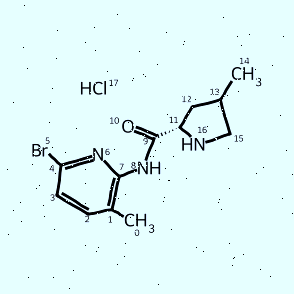 Cc1ccc(Br)nc1NC(=O)[C@@H]1CC(C)CN1.Cl